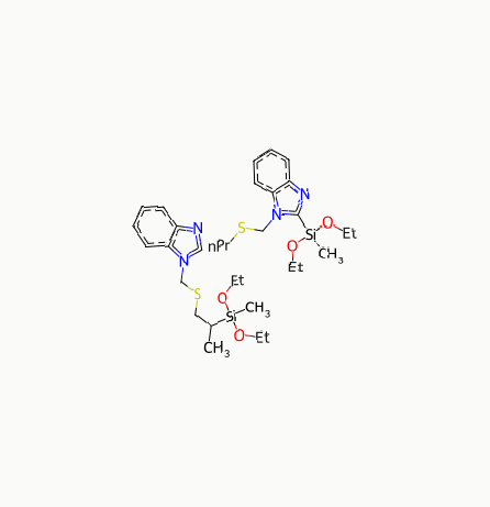 CCCSCn1c([Si](C)(OCC)OCC)nc2ccccc21.CCO[Si](C)(OCC)C(C)CSCn1cnc2ccccc21